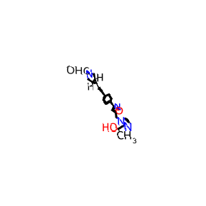 C[C@H](O)c1nccn1Cc1cc(-c2ccc(C#C[C@H]3[C@H]4CN(C=O)C[C@@H]34)cc2)no1